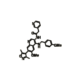 COc1ccc(CNc2c(NC(=O)Cc3cccnc3)cnc3cc(-c4c(C)noc4C)c(OC)cc23)cc1